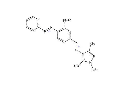 CC(=O)Nc1cc(/N=N/c2c(C(C)(C)C)nn(C(C)(C)C)c2O)ccc1/N=N/c1ccccc1